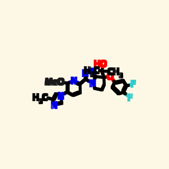 COc1nc(-c2nnc3n2CCCC3(Oc2ccc(F)c(F)c2)C(C)(C)O)ccc1-n1cnc(C)c1